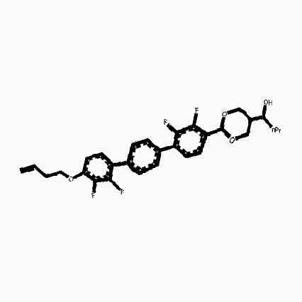 C=CCCOc1ccc(-c2ccc(-c3ccc(C4OCC(C(O)CCC)CO4)c(F)c3F)cc2)c(F)c1F